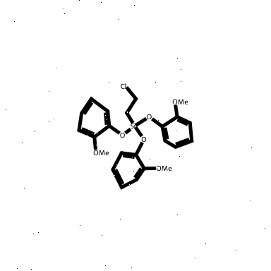 COc1ccccc1O[Si](CCCl)(Oc1ccccc1OC)Oc1ccccc1OC